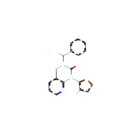 Cc1ccsc1N1C(=O)N(C(C)c2ccccc2)Cc2cccnc21